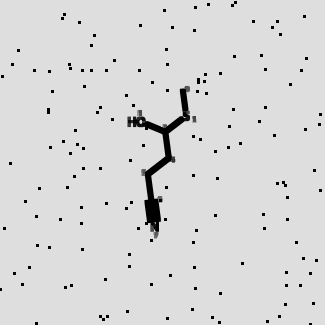 CSC(O)CCC#N